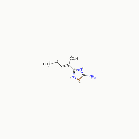 Nc1nc(/C(=C/CC(=O)O)C(=O)O)ns1